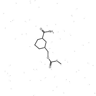 CSC(=O)OCC1CCCC(C(N)=O)C1